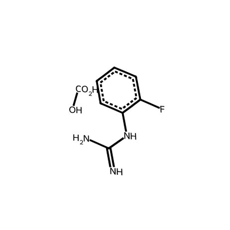 N=C(N)Nc1ccccc1F.O=C(O)O